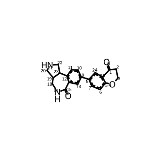 O=C1CCOc2ccc(-c3ccc4c(c3)C(=O)NCC3CNCC43)cc21